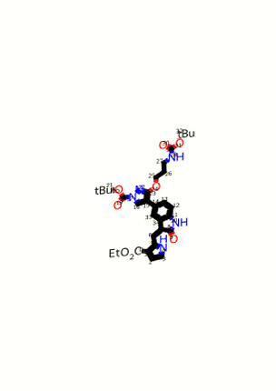 CCOC(=O)c1cc[nH]c1/C=C1\C(=O)Nc2ccc(-c3cn(C(=O)OC(C)(C)C)nc3OCCCNC(=O)OC(C)(C)C)cc21